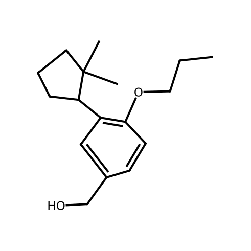 CCCOc1ccc(CO)cc1C1CCCC1(C)C